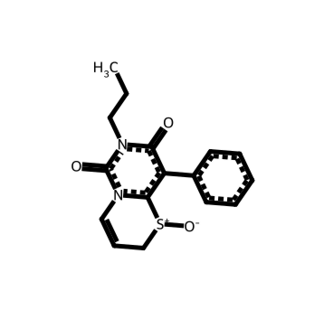 CCCn1c(=O)c(-c2ccccc2)c2n(c1=O)C=CC[S+]2[O-]